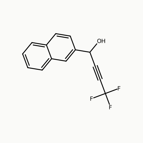 OC(C#CC(F)(F)F)c1ccc2ccccc2c1